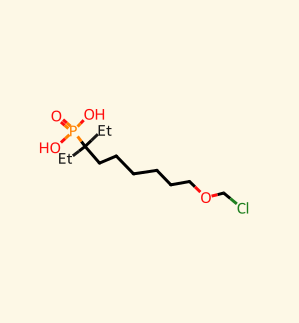 CCC(CC)(CCCCCCOCCl)P(=O)(O)O